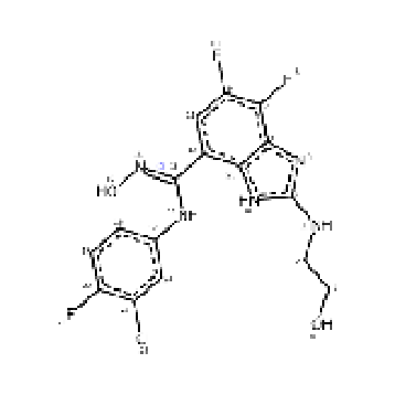 OCCNc1nc2c(F)c(F)cc(/C(=N/O)Nc3ccc(F)c(Cl)c3)c2[nH]1